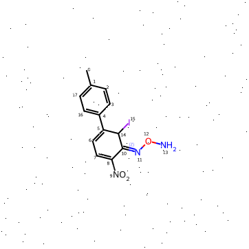 Cc1ccc(C2=CC=C([N+](=O)[O-])/C(=N/ON)C2I)cc1